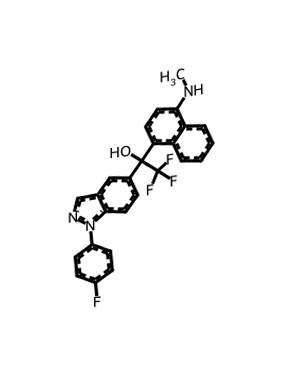 CNc1ccc(C(O)(c2ccc3c(cnn3-c3ccc(F)cc3)c2)C(F)(F)F)c2ccccc12